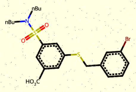 CCCCN(CCCC)S(=O)(=O)c1cc(SCc2cccc(Br)c2)cc(C(=O)O)c1